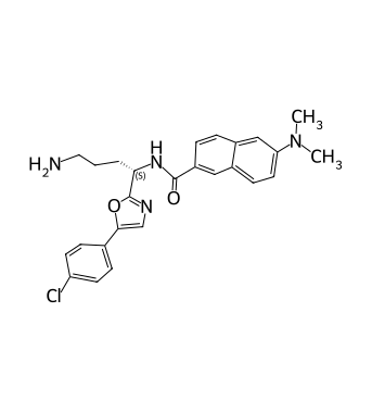 CN(C)c1ccc2cc(C(=O)N[C@@H](CCCN)c3ncc(-c4ccc(Cl)cc4)o3)ccc2c1